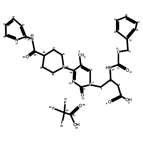 Cc1cn(CC(CC(=O)O)NC(=O)OCc2ccccc2)c(=O)nc1N1CCC(C(=O)Nc2ccccn2)CC1.O=C(O)C(F)(F)F